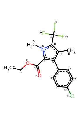 CCOC(=O)c1c(-c2ccc(Cl)cc2)c(C)c(C(F)(F)F)n1C